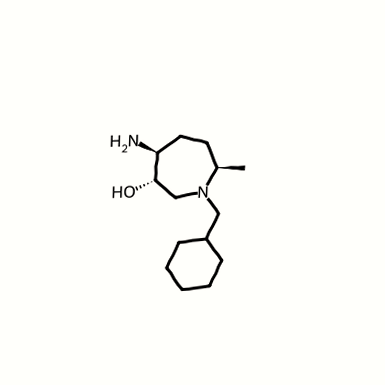 C[C@@H]1CC[C@H](N)[C@@H](O)CN1CC1CCCCC1